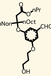 CCCCCCCCCC(CCCCCCCC)(CC(=O)OCCC)Oc1cc(C=O)cc(OCCCO)c1